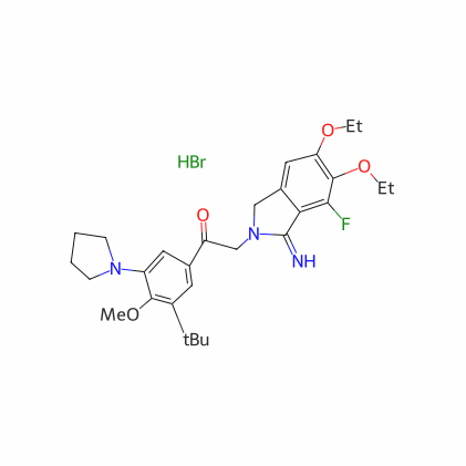 Br.CCOc1cc2c(c(F)c1OCC)C(=N)N(CC(=O)c1cc(N3CCCC3)c(OC)c(C(C)(C)C)c1)C2